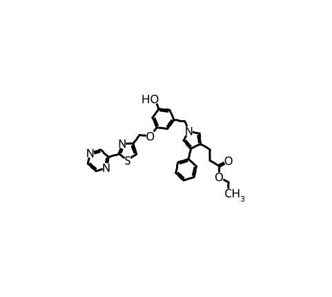 CCOC(=O)CCc1cn(Cc2cc(O)cc(OCc3csc(-c4cnccn4)n3)c2)cc1-c1ccccc1